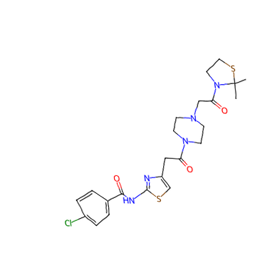 CC1(C)SCCN1C(=O)CN1CCN(C(=O)Cc2csc(NC(=O)c3ccc(Cl)cc3)n2)CC1